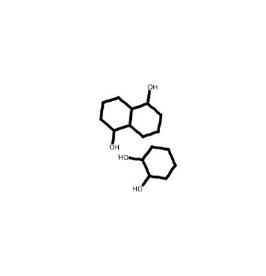 OC1CCCC2C(O)CCCC12.OC1CCCCC1O